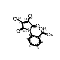 O=C(O)c1ccccc1N1C(=O)C(Cl)=C(Cl)C1=O